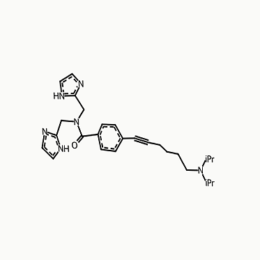 CC(C)N(CCCCC#Cc1ccc(C(=O)N(Cc2ncc[nH]2)Cc2ncc[nH]2)cc1)C(C)C